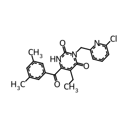 CCc1c(C(=O)c2cc(C)cc(C)c2)[nH]c(=O)n(Cc2cccc(Cl)n2)c1=O